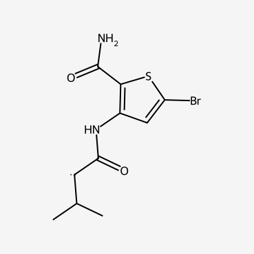 CC(C)[CH]C(=O)Nc1cc(Br)sc1C(N)=O